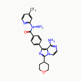 Nc1nccn2c(C3CCOCC3)nc(-c3ccc(C(=O)N(N)c4cc(C(F)(F)F)ccn4)cc3)c12